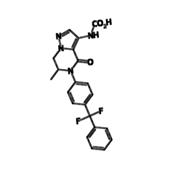 CC1Cn2ncc(NC(=O)O)c2C(=O)N1c1ccc(C(F)(F)c2ccccc2)cc1